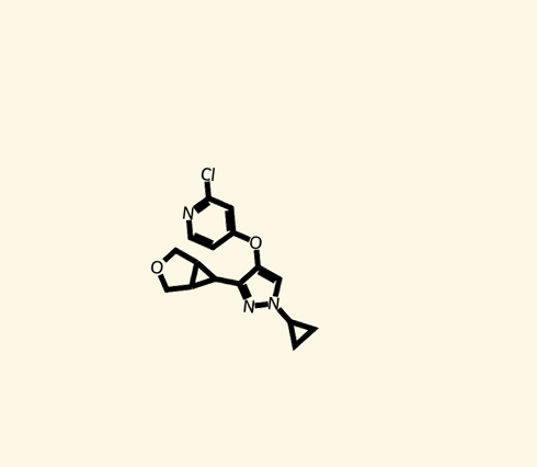 Clc1cc(Oc2cn(C3CC3)nc2C2C3COCC32)ccn1